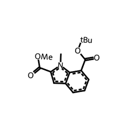 COC(=O)c1cc2cccc(C(=O)OC(C)(C)C)c2n1C